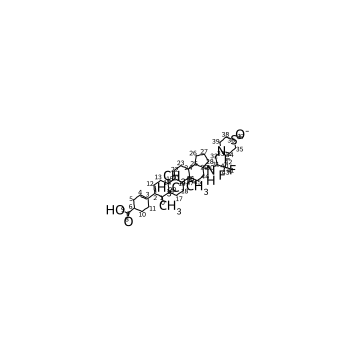 CC1C(C2=CCC(C(=O)O)CC2)=CCC2(C)C1CCC1(C)C2CCC2C3CCCC3(NC(CN3CC[S+]([O-])CC3)C(F)(F)F)CC[C@]21C